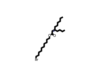 CCCCCC/C(=C/C(=O)OCCCCCCCCCCBr)CCCC